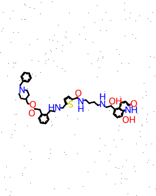 O=C(Cc1ccccc1CCNCc1ccc(C(=O)NCCCCNC[C@H](O)c2ccc(O)c3[nH]c(=O)ccc23)s1)OCC1CCN(Cc2ccccc2)CC1